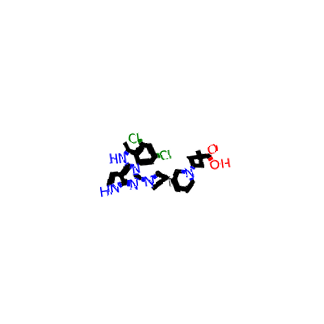 CC(Nc1nc(N2CC([C@H]3CCCN(C4CC(C)(C(=O)O)C4)C3)C2)nc2[nH]ccc12)c1ccc(Cl)cc1Cl